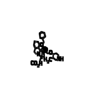 CC1CNCCC1OCC(=O)NC1(C(=O)OCc2ccccc2)c2ccccc2CCN1CCC(=O)O